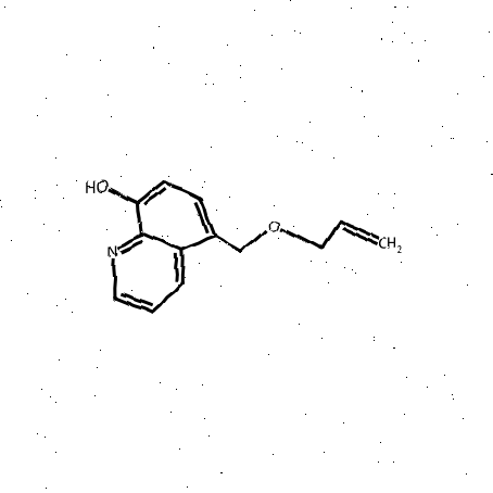 C=CCOCc1ccc(O)c2ncccc12